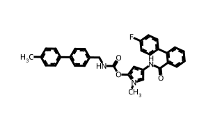 Cc1ccc(-c2ccc(CNC(=O)Oc3cc(NC(=O)c4ccccc4-c4ccc(F)cc4)cn3C)cc2)cc1